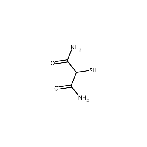 NC(=O)C(S)C(N)=O